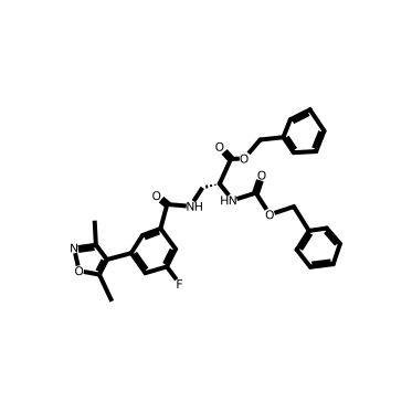 Cc1noc(C)c1-c1cc(F)cc(C(=O)NC[C@@H](NC(=O)OCc2ccccc2)C(=O)OCc2ccccc2)c1